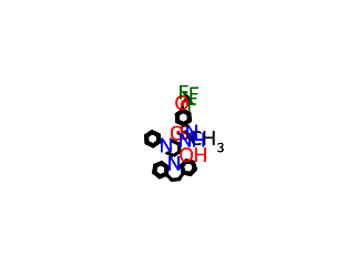 CN=S(=O)(NC1CN(c2ccccc2)CC(N2c3ccccc3CCc3ccccc32)C1O)c1ccc(OC(F)(F)F)cc1